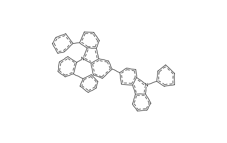 c1ccc(-c2ccccc2-n2c3ccc(-c4ccc5c(c4)c4ccccc4n5-c4ccccc4)cc3c3cccc(-c4ccccc4)c32)cc1